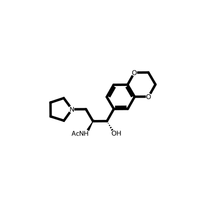 CC(=O)N[C@@H](CN1CCCC1)[C@@H](O)c1ccc2c(c1)OCCO2